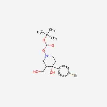 CC(C)(C)OC(=O)ON1CCC(O)(c2ccc(Br)cc2)C(CO)C1